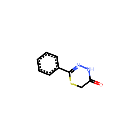 O=C1CSC(c2ccccc2)=NN1